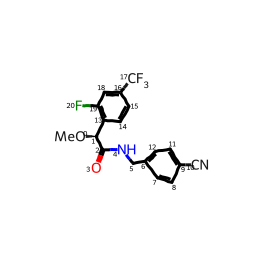 CO[C@H](C(=O)NCc1ccc(C#N)cc1)c1ccc(C(F)(F)F)cc1F